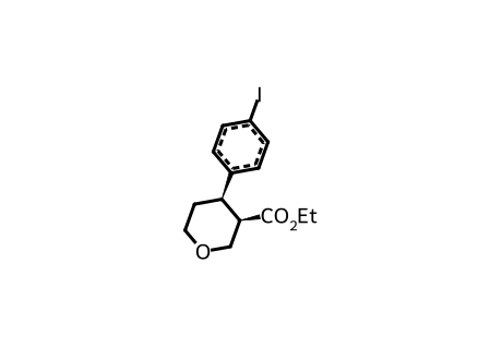 CCOC(=O)[C@H]1COCC[C@H]1c1ccc(I)cc1